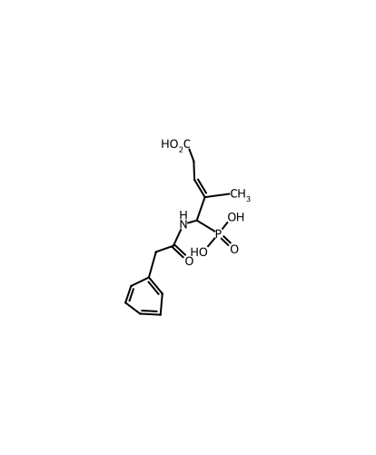 CC(=CCC(=O)O)C(NC(=O)Cc1ccccc1)P(=O)(O)O